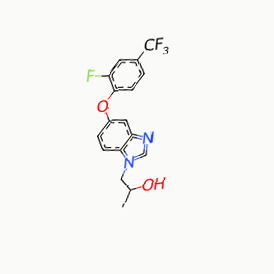 CC(O)Cn1cnc2cc(Oc3ccc(C(F)(F)F)cc3F)ccc21